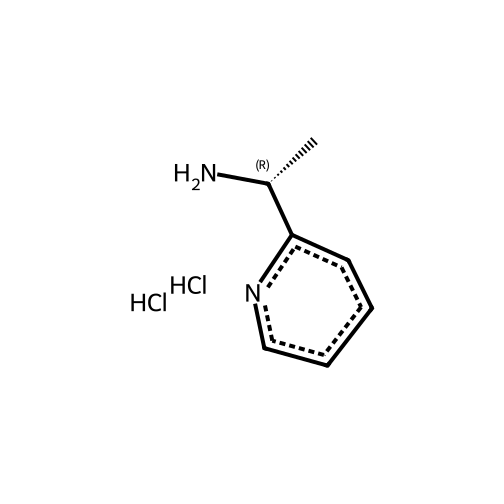 C[C@@H](N)c1ccccn1.Cl.Cl